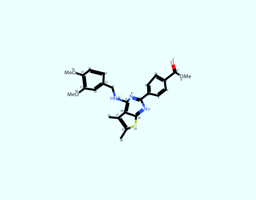 COC(=O)c1ccc(-c2nc(NCc3ccc(OC)c(OC)c3)c3c(C)c(C)sc3n2)cc1